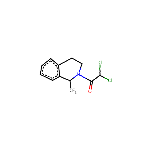 O=C(C(Cl)Cl)N1CCc2ccccc2C1C(F)(F)F